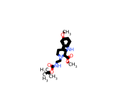 COC(=O)C1c2[nH]c3ccc(OC)cc3c2CCN1CCNC(=O)OC(C)(C)C